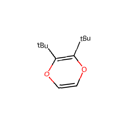 CC(C)(C)C1=C(C(C)(C)C)OC=CO1